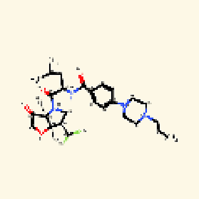 CCCN1CCN(c2ccc(C(=O)NC(CC(C)C)C(=O)N3C[C@@H](C(F)F)[C@H]4OCC(=O)[C@H]43)cc2)CC1